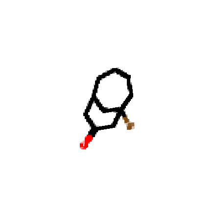 O=C1CC2CCCCC(Br)(C1)C2